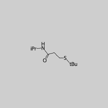 CC(C)NC(=O)CCSC(C)(C)C